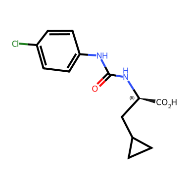 O=C(Nc1ccc(Cl)cc1)N[C@H](CC1CC1)C(=O)O